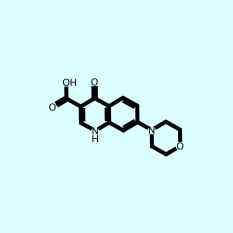 O=C(O)c1c[nH]c2cc(N3CCOCC3)ccc2c1=O